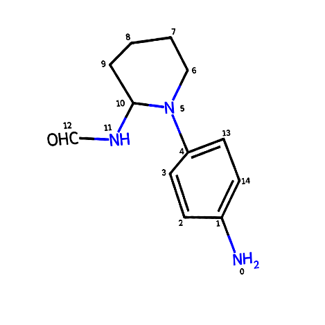 Nc1ccc(N2CCCCC2NC=O)cc1